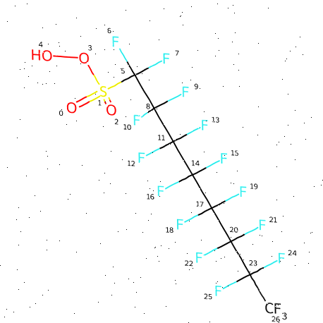 O=S(=O)(OO)C(F)(F)C(F)(F)C(F)(F)C(F)(F)C(F)(F)C(F)(F)C(F)(F)C(F)(F)F